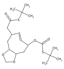 CC(C)(C)SC(=O)CC1/C=C/C(OC(=O)SC(C)(C)C)CC2OCOC2C1